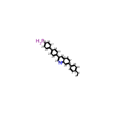 CCc1ccc(-c2ccc3cc(-c4ccc(-c5ccc(P)cc5)cc4)cnc3c2)cc1